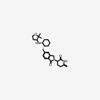 C=C1CCC(N2Cc3cc(C[C@H]4CCCC[C@@H]4NC4CCOC4(C)C)ccc3C2=O)C(=O)N1